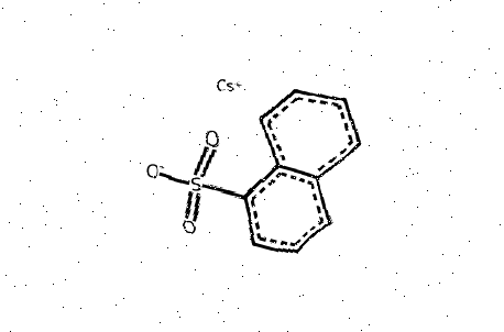 O=S(=O)([O-])c1cccc2ccccc12.[Cs+]